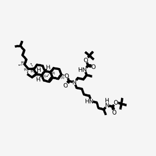 CC(C)CCC[C@@H](C)[C@H]1CC[C@H]2[C@@H]3CC=C4C[C@@H](OC(=O)N(CCCCNCCC(C)NC(=O)OC(C)(C)C)CCC(C)NC(=O)OC(C)(C)C)CC[C@]4(C)[C@H]3CC[C@]12C